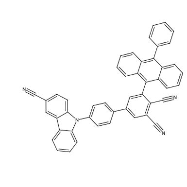 N#Cc1ccc2c(c1)c1ccccc1n2-c1ccc(-c2cc(C#N)c(C#N)c(-c3c4ccccc4c(-c4ccccc4)c4ccccc34)c2)cc1